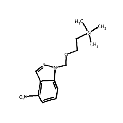 C[Si](C)(C)CCOCn1ncc2c([N+](=O)[O-])cccc21